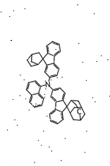 c1ccc2c(c1)-c1ccc(N(c3ccc4c(c3)-c3ccccc3C43C4CCC5CC(C4)CC3C5)c3cccc4ccccc34)cc1C21CC2CCC1C2